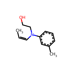 C/C=C\N(CCO)c1cccc(C)c1